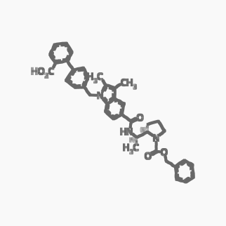 Cc1c(C)n(Cc2ccc(-c3ccccc3C(=O)O)cc2)c2ccc(C(=O)N[C@@H](C)[C@@H]3CCCN3C(=O)OCc3ccccc3)cc12